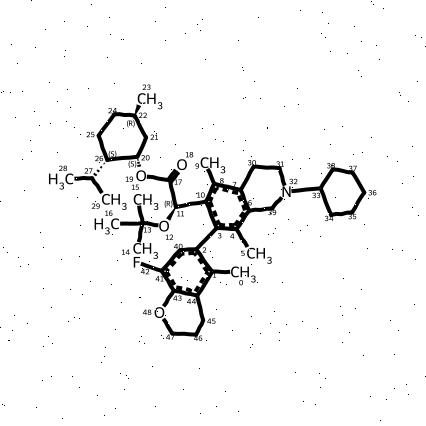 Cc1c(-c2c(C)c3c(c(C)c2[C@@H](OC(C)(C)C)C(=O)O[C@H]2C[C@H](C)CC[C@H]2C(C)C)CCN(C2CCCCC2)C3)cc(F)c2c1CCCO2